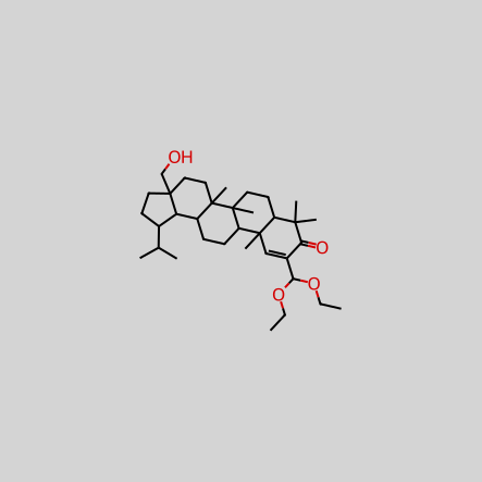 CCOC(OCC)C1=CC2(C)C(CCC3(C)C2CCC2C4C(C(C)C)CCC4(CO)CCC23C)C(C)(C)C1=O